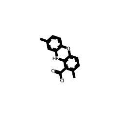 Cc1ccc2c(c1)Pc1c(ccc(C)c1C(=O)Cl)O2